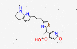 COc1ccc(C(CC(=O)O)c2nc(CCCc3ccc4c(n3)NCCC4)cs2)cn1